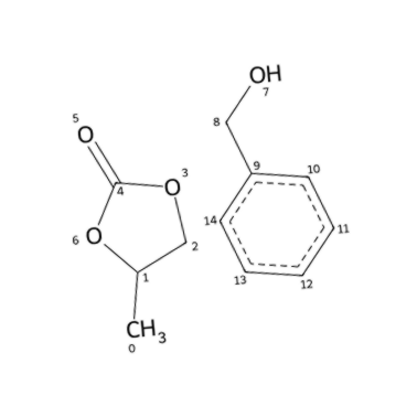 CC1COC(=O)O1.OCc1ccccc1